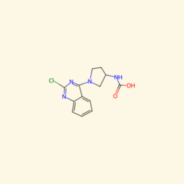 O=C(O)NC1CCN(c2nc(Cl)nc3ccccc23)C1